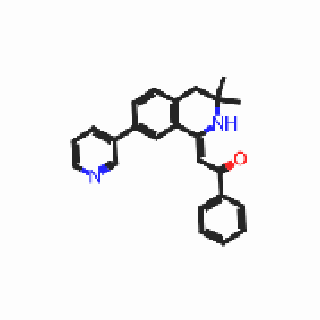 CC1(C)Cc2ccc(-c3cccnc3)cc2/C(=C/C(=O)c2ccccc2)N1